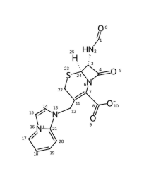 O=CN[C@@H]1C(=O)N2C(C(=O)[O-])=C(Cn3cc[n+]4ccccc34)CS[C@@H]12